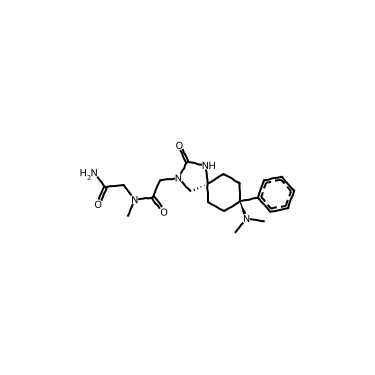 CN(CC(N)=O)C(=O)CN1C[C@]2(CC[C@](c3ccccc3)(N(C)C)CC2)NC1=O